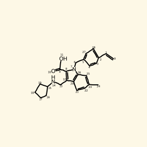 C=Cc1ccc(Cn2c(C(=O)O)c(CNC3CCCC3)c3ccc(C)cc32)cc1